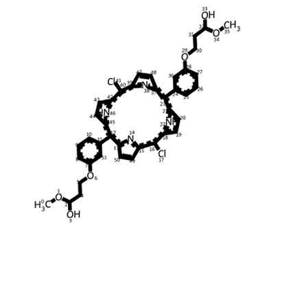 COC(O)CCOc1cccc(-c2c3nc(c(Cl)c4ccc([nH]4)c(-c4cccc(OCCC(O)OC)c4)c4nc(c(Cl)c5ccc2[nH]5)C=C4)C=C3)c1